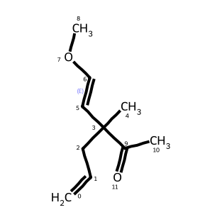 C=CCC(C)(/C=C/OC)C(C)=O